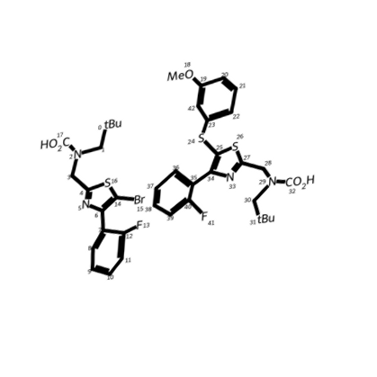 CC(C)(C)CN(Cc1nc(-c2ccccc2F)c(Br)s1)C(=O)O.COc1cccc(Sc2sc(CN(CC(C)(C)C)C(=O)O)nc2-c2ccccc2F)c1